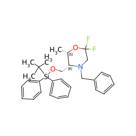 C[C@@H]1OC(F)(F)CN(Cc2ccccc2)[C@@H]1CO[Si](c1ccccc1)(c1ccccc1)C(C)(C)C